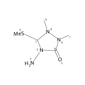 CSC1N(N)C(=O)N(C)N1C